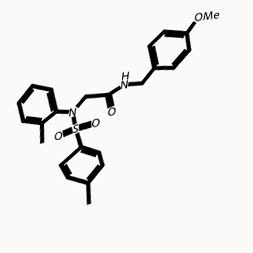 COc1ccc(CNC(=O)CN(c2ccccc2C)S(=O)(=O)c2ccc(C)cc2)cc1